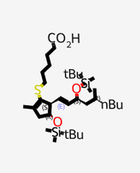 CCCC[C@@H](C)C[C@@H](/C=C/[C@@H]1C(SCCCCCC(=O)O)=C(C)C[C@H]1O[Si](C)(C)C(C)(C)C)O[Si](C)(C)C(C)(C)C